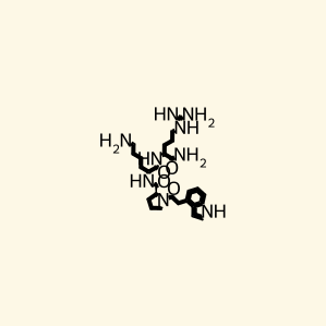 N=C(N)NCCCC(NC(=O)C(CCCCN)NC(=O)[C@@H]1CCCN1C(=O)Cc1cccc2[nH]ccc12)C(N)=O